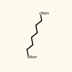 [CH2]CC[CH]CCCCCCCCCCCCCCCCCCCC